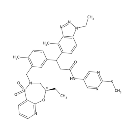 CC[C@@H]1CN(Cc2cc(C(CC(=O)Nc3cnc(SC)nc3)c3ccc4c(nnn4CC)c3C)ccc2C)S(=O)(=O)c2cccnc2O1